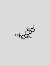 CNc1nnc(C(F)(F)C(F)(F)F)cc1NC(=O)c1cc2ccc(F)cc2n1COC